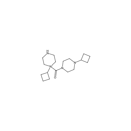 O=C(N1CCN(C2CCC2)CC1)[N+]1(C2CCC2)CCNCC1